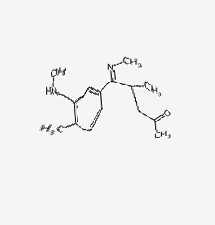 CN=C(c1ccc(C)c(NO)c1)C(C)CC(C)=O